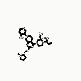 C=CC(=O)N1CCN(c2nc(OC[C@@H]3CCCN3C)nc3c2CCN(c2cnccc2C#N)C3)C[C@@]1(O)CC#N